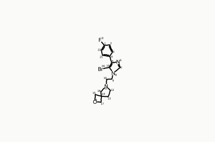 Fc1ccc(-c2ncn(CCN3CCC4(COC4)C3)c2Br)cc1